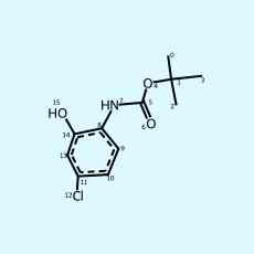 CC(C)(C)OC(=O)Nc1ccc(Cl)cc1O